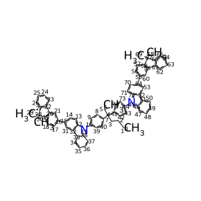 CCCCC(CC)(c1ccc(N2c3ccc(-c4ccc5c(c4)-c4ccccc4C5(C)C)cc3C3C=CC=CC32)cc1)c1ccc(-n2c3ccccc3c3cc(-c4ccc5c(c4)-c4ccccc4C5(C)C)ccc32)cc1